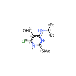 CCC(CC)Nc1nc(SC)nc(Cl)c1C=O